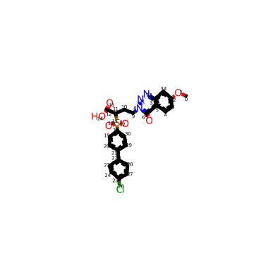 COc1ccc2c(=O)n(CCC(C(=O)O)S(=O)(=O)c3ccc(-c4ccc(Cl)cc4)cc3)nnc2c1